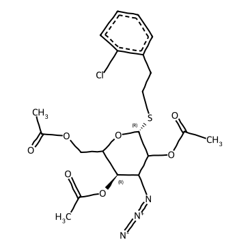 CC(=O)OCC1O[C@H](SCCc2ccccc2Cl)C(OC(C)=O)C(N=[N+]=[N-])[C@H]1OC(C)=O